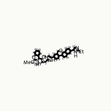 CCCN(Cc1ncc(-c2ccc3c(c2)COc2c-3ccc3cc(-c4cnc(CC)[nH]4)ccc23)[nH]1)C(=O)[C@H](NC(=O)OC)c1ccccc1